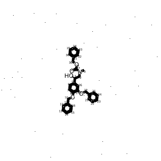 CN(C[C@H](O)c1ccc(OCc2ccccc2)c(OCc2ccccc2)c1)C(=O)OCc1ccccc1